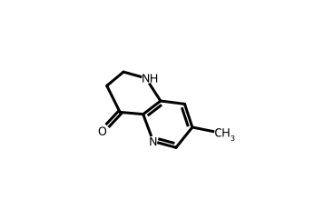 Cc1cnc2c(c1)NCCC2=O